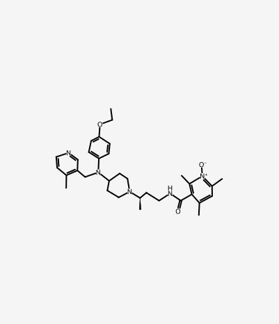 CCOc1ccc(N(Cc2cnccc2C)C2CCN([C@H](C)CCNC(=O)c3c(C)cc(C)[n+]([O-])c3C)CC2)cc1